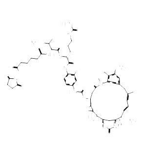 C=C(CCCCC(=O)ON1C(=O)CCC1=O)N[C@H](C(=O)N[C@@H](CCCNC(N)=O)C(=O)Nc1ccc(NC(=O)O[C@H]2CC(=O)N(C)c3cc(cc(OC)c3Cl)C/C(C)=C/C=C/[C@@H](OC)[C@@]3(O)C[C@H](OC(=O)N3)[C@@H](C)[C@@H]3O[C@@]23C)cc1Br)C(C)OC